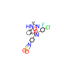 N#CC1(NC(=O)[C@@H]2CCCC[C@H]2c2oc(-c3ccc(Cl)c(F)c3)nc2-c2ccc(N3CCS(=O)(=O)CC3)cc2)CC1